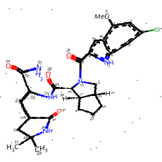 COc1cc(Cl)cc2[nH]c(C(=O)N3C[C@@H]4CCC[C@@H]4[C@H]3C(=O)NC(CC3CC(C)(C)NC3=O)C(N)=O)cc12